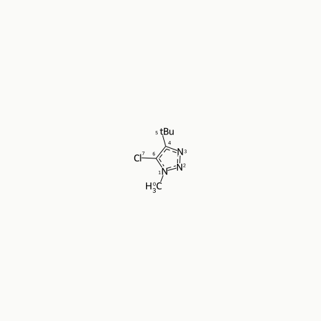 Cn1nnc(C(C)(C)C)c1Cl